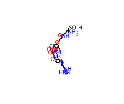 Cc1cc(OCCCC(=O)NCCC[C@@H](N)CS(=O)(=O)O)cc(C)c1S(=O)(=O)N[C@@H](CNC(=O)c1ccc2c(cnn2CCCNc2ncc[nH]2)c1)C(=O)OC(=O)C(F)(F)F